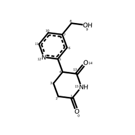 O=C1CCC(c2cc(CO)ccn2)C(=O)N1